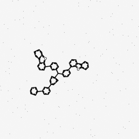 c1ccc(-c2cccc(-c3ccc(C(c4cccc(-c5cccc6c5oc5ccccc56)c4)c4cccc(-c5cccc6c5oc5ccccc56)c4)cc3)c2)cc1